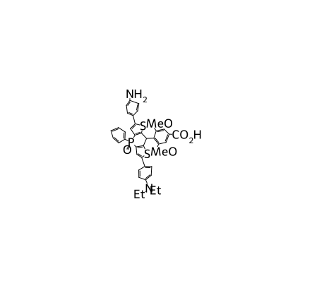 CCN(CC)c1ccc(-c2cc3c(s2)C(c2c(OC)cc(C(=O)O)cc2OC)c2sc(-c4ccc(N)cc4)cc2P3(=O)c2ccccc2)cc1